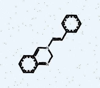 C(=CN1C=c2ccccc2=NC1)c1ccccc1